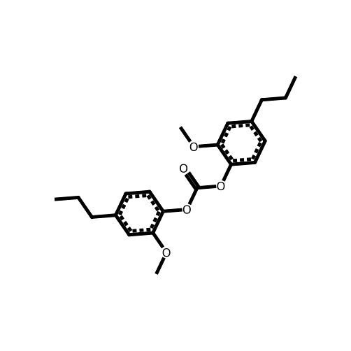 CCCc1ccc(OC(=O)Oc2ccc(CCC)cc2OC)c(OC)c1